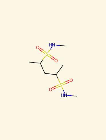 CNS(=O)(=O)C(C)CC(C)S(=O)(=O)NC